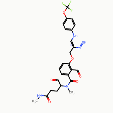 CNC(=O)CCC(C=O)N(C)C(=O)c1cccc(OC/C(=C/Nc2ccc(OC(F)(F)F)cc2)N=N)c1C=O